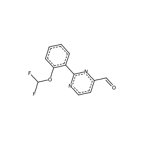 O=Cc1ccnc(-c2ccccc2OC(F)F)n1